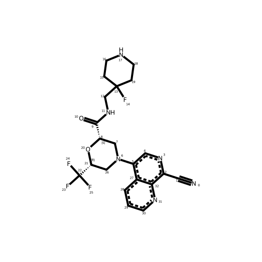 N#Cc1ncc(N2C[C@@H](C(=O)NCC3(F)CCNCC3)O[C@@H](C(F)(F)F)C2)c2cccnc12